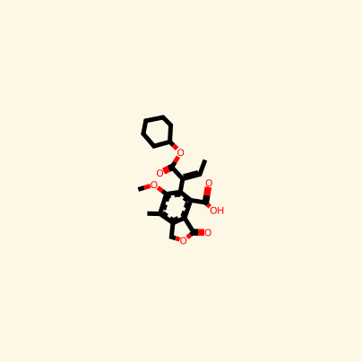 CC=C(C(=O)OC1CCCCC1)c1c(OC)c(C)c2c(c1C(=O)O)C(=O)OC2